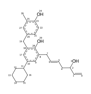 C=CC(O)C/C=C/Cc1cc(C2CCCCC2)cc(Cc2ccc(O)c(C)c2)c1O